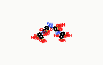 O=C(Nc1ccc(C(=O)Nc2ccc(S(=O)(=O)O)c3cc(S(=O)(=O)O)cc(O)c23)c(S(=O)(=O)O)c1)Nc1ccc(C(=O)Nc2ccc(S(=O)(=O)O)c3cc(S(=O)(=O)O)cc(O)c23)c(S(=O)(=O)O)c1